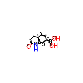 O=C1CCc2ccc(B(O)O)cc2N1